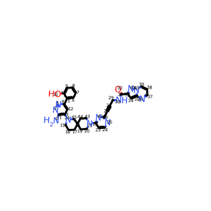 Nc1nnc(-c2ccccc2O)cc1N1CCCC2(CCN(c3ccnc(C#CCNC(=O)c4cc5ncccn5n4)n3)CC2)C1